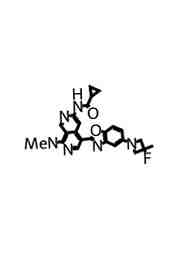 CNc1ncc(-c2nc3cc(N4CC(C)(F)C4)ccc3o2)c2cc(NC(=O)C3CC3)ncc12